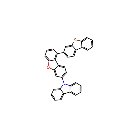 c1cc(-c2ccc3c(c2)sc2ccccc23)c2c(c1)oc1cc(-n3c4ccccc4c4ccccc43)ccc12